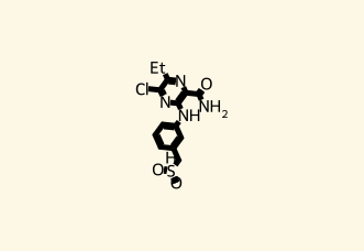 CCc1nc(C(N)=O)c(Nc2cccc(C[SH](=O)=O)c2)nc1Cl